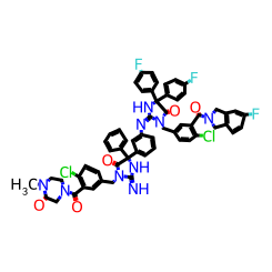 CN1CCN(C(=O)c2cc(CN3C(=N)NC(c4ccccc4)(c4cccc(/N=C5/NC(c6ccc(F)cc6)(c6ccc(F)cc6)C(=O)N5Cc5ccc(Cl)c(C(=O)N6Cc7ccc(F)cc7C6)c5)c4)C3=O)ccc2Cl)CC1=O